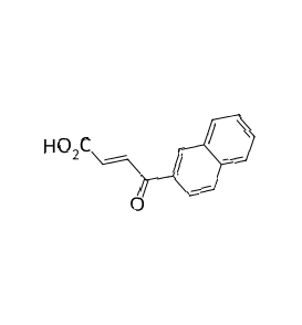 O=C(O)C=CC(=O)c1ccc2ccccc2c1